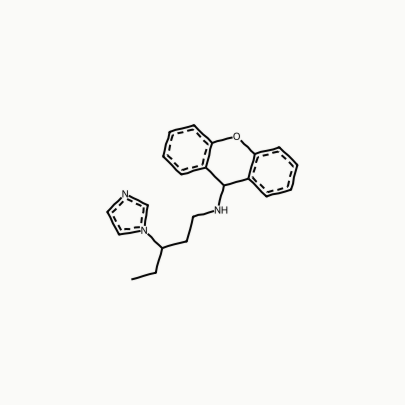 CCC(CCNC1c2ccccc2Oc2ccccc21)n1ccnc1